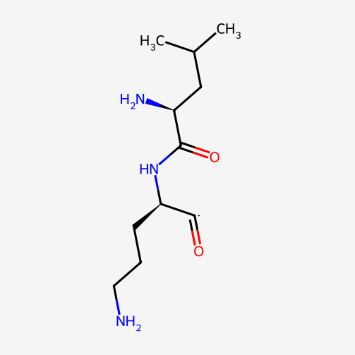 CC(C)C[C@H](N)C(=O)N[C@@H]([C]=O)CCCN